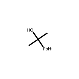 C[C](C)(O)[PbH]